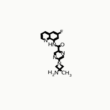 CC1(N)CN(c2cnc(C(=O)Nc3cc(F)cc4cccnc34)cn2)C1